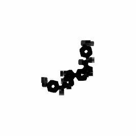 CCO[C@H]1CC[C@@H](Nc2ncc3c(-c4ccn5ncc(C(=O)N[C@H]6CC[C@H](OC)CC6)c5c4)c[nH]c3n2)CC1